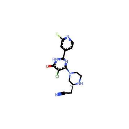 N#CC[C@H]1CN(c2nc(-c3ccnc(F)c3)[nH]c(=O)c2Cl)CCN1